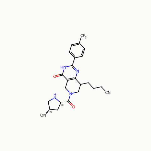 N#CCCCC1CN(C(=O)[C@@H]2C[C@@H](N=O)CN2)Cc2c1nc(-c1ccc(C(F)(F)F)cc1)[nH]c2=O